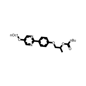 CCCCCCCCOc1cnc(-c2ccc(OCC(C)OC(=O)CCCC)cc2)nc1